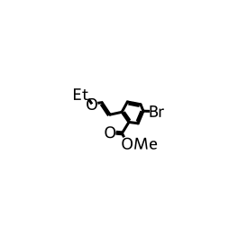 CCOC=Cc1ccc(Br)cc1C(=O)OC